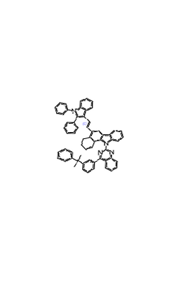 CC(C)(c1ccccc1)c1cccc(-c2nc(-n3c4ccccc4c4cc(/C=C/c5c(-c6ccccc6)n(-c6ccccc6)c6ccccc56)c5c(c43)C=CCC5)nc3ccccc23)c1